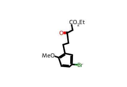 CCOC(=O)CC(=O)CCc1cc(Br)ccc1OC